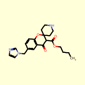 CCCCOC(=O)C1C(=O)c2cc(Cn3ccnc3)ccc2OC12CCNCC2